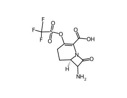 NC1C(=O)N2C(C(=O)O)=C(OS(=O)(=O)C(F)(F)F)CC[C@H]12